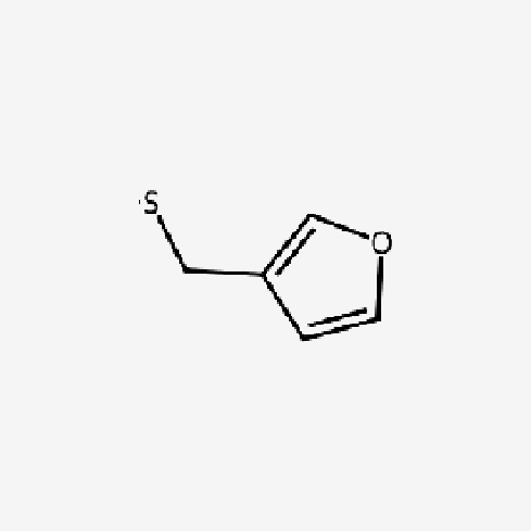 [S]Cc1ccoc1